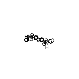 O=S(=O)(NC1CCOCC1)c1ccc2c(c1)Cc1cc(S(=O)(=O)NC3CC4CCC3C4)ccc1-2